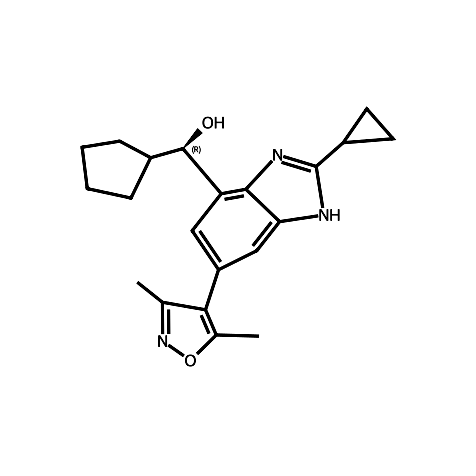 Cc1noc(C)c1-c1cc([C@H](O)C2CCCC2)c2nc(C3CC3)[nH]c2c1